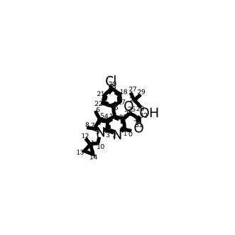 Cc1nc2c(c(C)c(C)n2CC2(C)CC2)c(-c2ccc(Cl)cc2)c1[C@H](OC(C)(C)C)C(=O)O